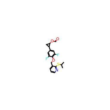 CC(C)Sc1ncccc1COc1c(F)cc(C2CC2OC=O)cc1F